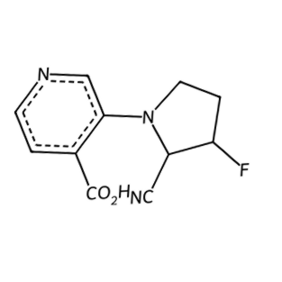 N#CC1C(F)CCN1c1cnccc1C(=O)O